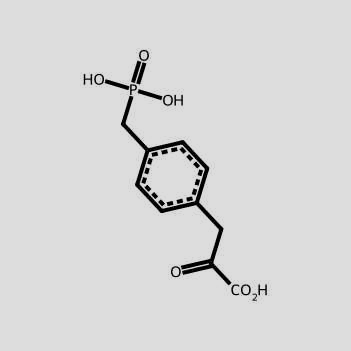 O=C(O)C(=O)Cc1ccc(CP(=O)(O)O)cc1